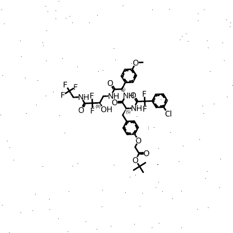 COc1ccc([C@H](NC(=O)[C@H](Cc2ccc(OCC(=O)OC(C)(C)C)cc2)NC(=O)C(F)(F)c2cccc(Cl)c2)C(=O)NC[C@@H](O)C(F)(F)C(=O)NCC(F)(F)F)cc1